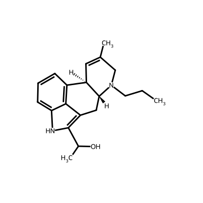 CCCN1CC(C)=C[C@@H]2c3cccc4[nH]c(C(C)O)c(c34)C[C@H]21